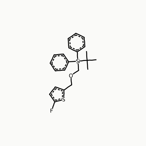 CC(C)(C)[Si](COCc1ccc(F)s1)(c1ccccc1)c1ccccc1